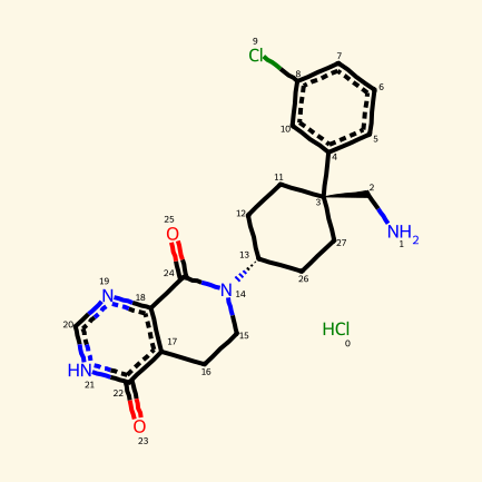 Cl.NC[C@]1(c2cccc(Cl)c2)CC[C@@H](N2CCc3c(nc[nH]c3=O)C2=O)CC1